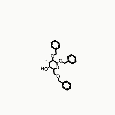 C[C@@H]1C(OCc2ccccc2)[C@H](OCc2ccccc2)OC(COCc2ccccc2)[C@H]1O